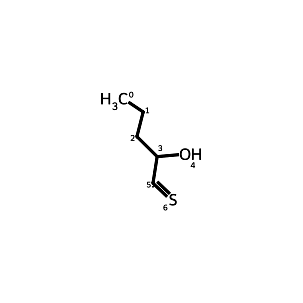 CCCC(O)[C]=S